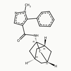 Cn1ncc(C(=O)N[C@]23C[C@@H]4C[C@@H](C[C@@H]2C4)C3)c1-c1ccccc1